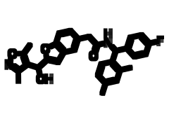 Cc1ccc(C(NC(=O)Cc2ccc3oc(C(O)c4c(C)noc4C)cc3c2)c2ccc(F)cc2)c(C)c1